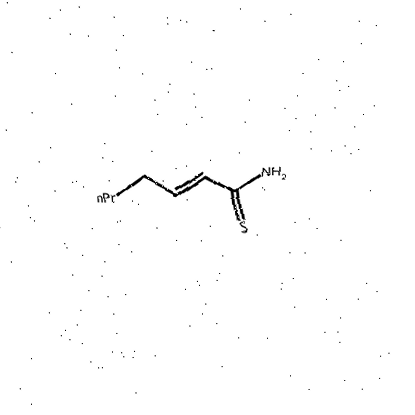 CCCCC=CC(N)=S